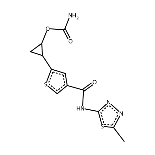 Cc1nnc(NC(=O)c2csc(C3CC3OC(N)=O)c2)s1